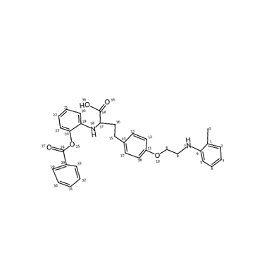 Cc1ccccc1NCCOc1ccc(CCC(Nc2ccccc2OC(=O)c2ccccc2)C(=O)O)cc1